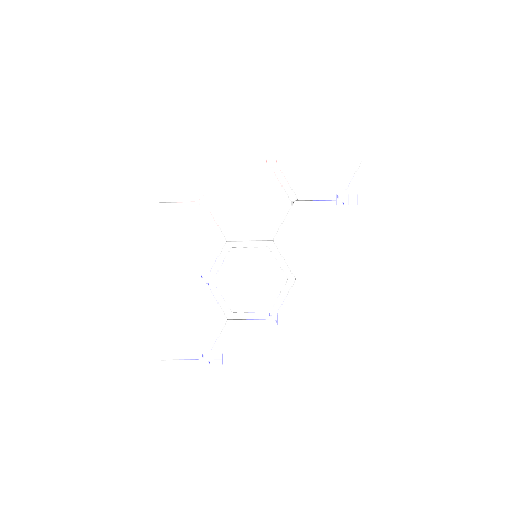 CNC(=O)c1cnc(NC)nc1OC